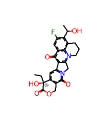 CC[C@@]1(O)C(=O)OCc2c1cc1n(c2=O)Cc2c-1c(=O)c1cc(F)c(C(C)O)c3c1n2CCC3